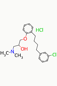 CN(C)CC(O)COc1ccccc1CCCCc1cccc(Cl)c1.Cl